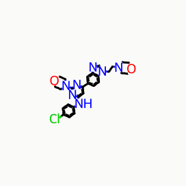 Clc1ccc(Nc2cc(-c3ccc4c(c3)ncn4CCN3CCOCC3)nc(N3CCOCC3)n2)cc1